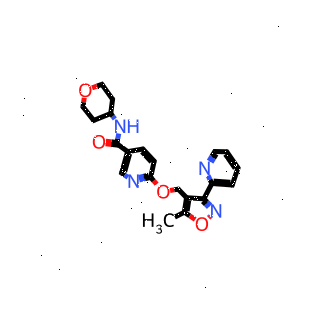 Cc1onc(-c2ccccn2)c1COc1ccc(C(=O)NC2CCOCC2)cn1